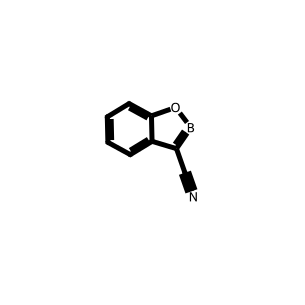 N#Cc1boc2ccccc12